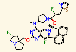 C#Cc1cccc2cccc(-c3ncc4c(N(C)[C@@H]5CCN(C(=O)/C(F)=C/c6nccs6)C5)nc(OC[C@@]56CCCN5C[C@H](F)C6)nc4c3F)c12